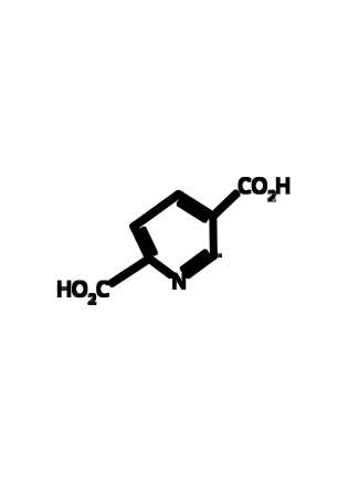 O=C(O)c1[c]nc(C(=O)O)cc1